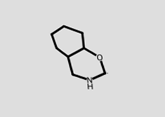 [CH]1NCC2CCCCC2O1